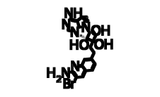 CCC(O)(CCc1ccc2cc(Br)c(N)nc2c1)[C@@](C)(O)[C@@H](O)n1ccc2c(N)ncnc21